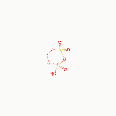 O=P1(O)OOOS(=O)(=O)O1